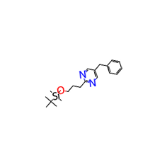 CC(C)(C)[Si](C)(C)OCCCc1ncc(Cc2ccccc2)cn1